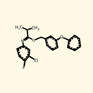 CC(C)C(=Nc1ccc(F)c(Cl)c1)OCc1cccc(Oc2ccccc2)c1